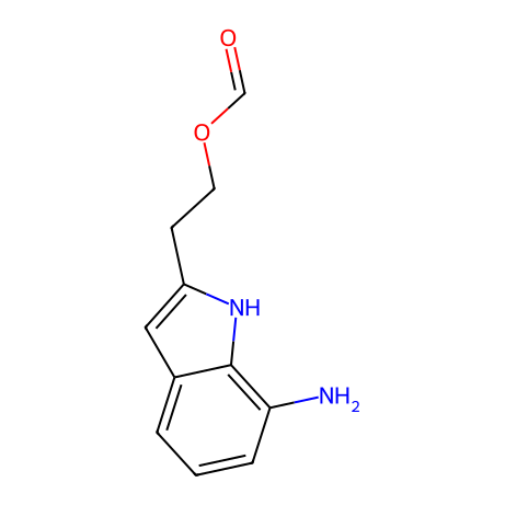 Nc1cccc2cc(CCOC=O)[nH]c12